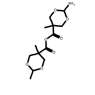 CC1OCC(C)(C(=O)OC(=O)C2(C)COC(P)OC2)CO1